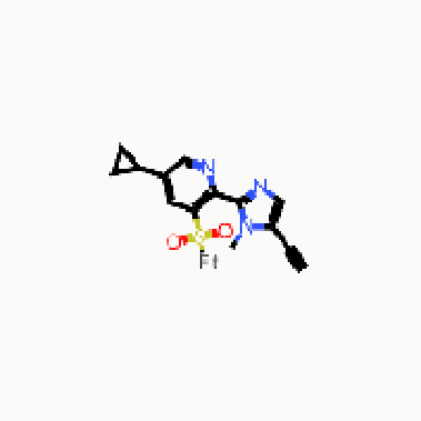 C#Cc1cnc(-c2ncc(C3CC3)cc2S(=O)(=O)CC)n1C